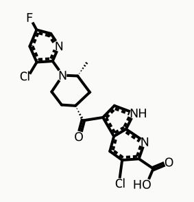 C[C@@H]1C[C@H](C(=O)c2c[nH]c3nc(C(=O)O)c(Cl)cc23)CCN1c1ncc(F)cc1Cl